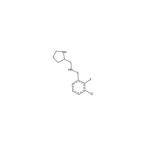 Fc1c(Cl)cccc1SNCC1CCCN1